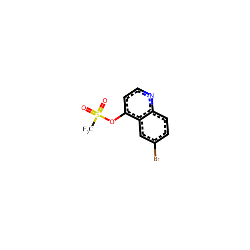 O=S(=O)(Oc1ccnc2ccc(Br)cc12)C(F)(F)F